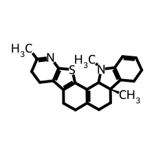 CC1=Nc2sc3c(c2CC1)CCC1=C3C2N(C)C3=C(CCC=C3)[C@]2(C)CC1